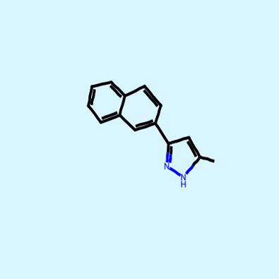 Cc1cc(-c2ccc3ccccc3c2)n[nH]1